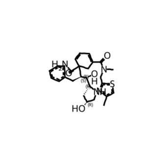 Cc1csc(CN(C)C(=O)C2=CC=CC(C(N)=O)([C@H](Cc3ccccc3)[C@@H](O)[C@H]3C[C@@H](O)CN3)C2)n1